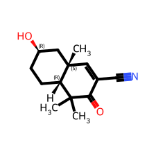 CC1(C)C(=O)C(C#N)=C[C@@]2(C)C[C@H](O)CC[C@@H]12